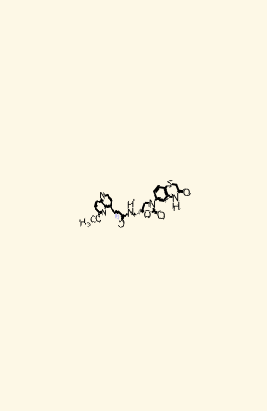 COc1ccc2nccc(/C=C/C(=O)NC[C@@H]3CN(c4ccc5c(c4)NC(=O)CS5)C(=O)O3)c2n1